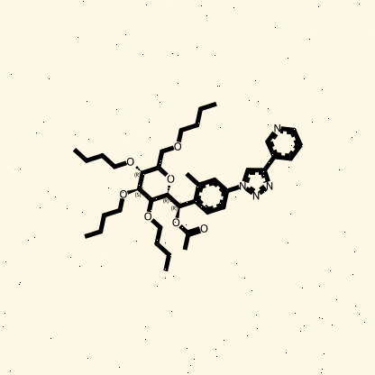 CCCCOCC1O[C@H]([C@H](OC(C)=O)c2ccc(-n3cc(-c4cccnc4)nn3)cc2C)C(OCCCC)[C@@H](OCCCC)[C@@H]1OCCCC